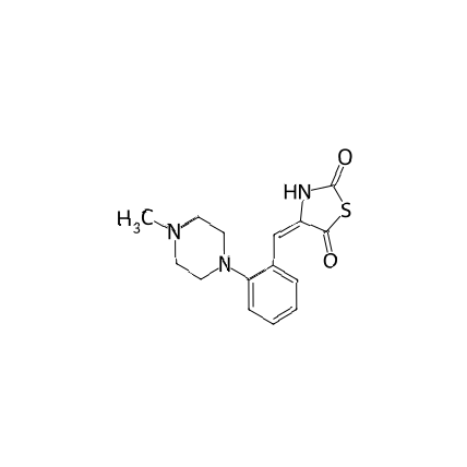 CN1CCN(c2ccccc2C=C2NC(=O)SC2=O)CC1